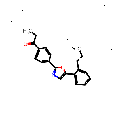 CCCc1ccccc1-c1cnc(-c2ccc(C(=O)CC)cc2)o1